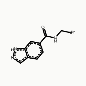 CC(C)CNC(=O)c1ccc2cn[nH]c2c1